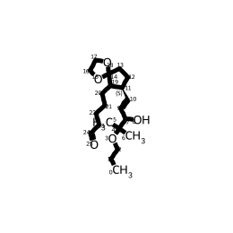 CCCOC(C)(C)C(O)C=C[C@@H]1CCC2(OCCO2)C1CCCCC=O